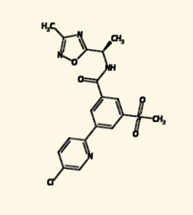 Cc1noc([C@@H](C)NC(=O)c2cc(-c3ccc(Cl)cn3)cc(S(C)(=O)=O)c2)n1